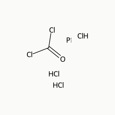 Cl.Cl.Cl.O=C(Cl)Cl.[P]